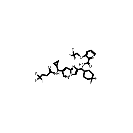 O=C(CCC(F)(F)F)N[C@@H](c1cnn2cc([C@@H](NC(=O)c3ncccc3OCC(F)(F)F)C3CCC(F)(F)CC3)nc2c1)C1CC1